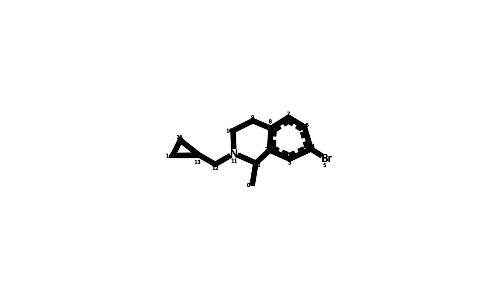 CC1c2cc(Br)ccc2CCN1CC1CC1